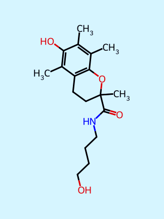 Cc1c(C)c2c(c(C)c1O)CCC(C)(C(=O)NCCCCO)O2